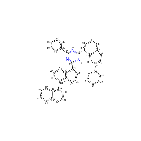 c1ccc(-c2ccc3cccc(-c4nc(-c5ccccc5)nc(-c5cccc6c(-c7cccc8ccccc78)cccc56)n4)c3c2)cc1